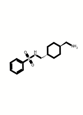 NC[C@H]1CC[C@H](CNS(=O)(=O)c2ccccc2)CC1